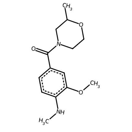 CNc1ccc(C(=O)N2CCOC(C)C2)cc1OC